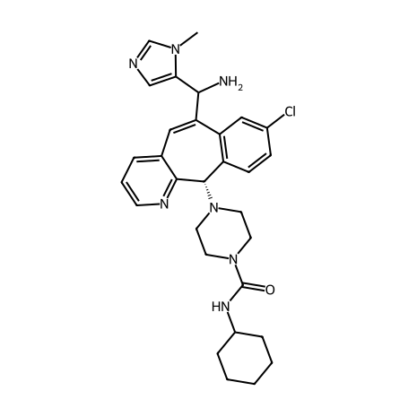 Cn1cncc1C(N)C1=Cc2cccnc2[C@@H](N2CCN(C(=O)NC3CCCCC3)CC2)c2ccc(Cl)cc21